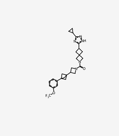 O=C(N1CC(C23CC(c4cccc(OC(F)(F)F)c4)(C2)C3)C1)N1CC2(CC(c3nc(C4CC4)n[nH]3)C2)C1